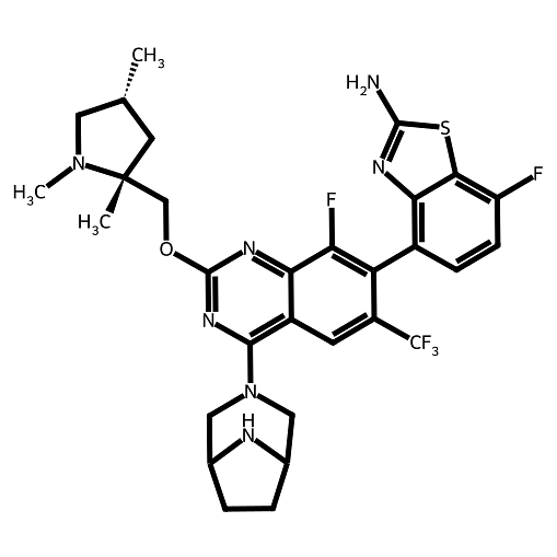 C[C@H]1CN(C)[C@@](C)(COc2nc(N3CC4CCC(C3)N4)c3cc(C(F)(F)F)c(-c4ccc(F)c5sc(N)nc45)c(F)c3n2)C1